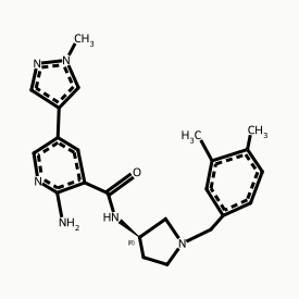 Cc1ccc(CN2CC[C@@H](NC(=O)c3cc(-c4cnn(C)c4)cnc3N)C2)cc1C